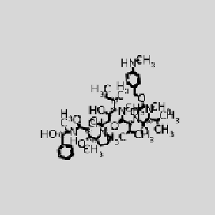 CC[C@H](C)[C@@H]([C@H](O)CC(=O)N1CCC[C@H]1[C@H](OC)[C@@H](C)C(=O)N[C@H](C)[C@@H](O)c1ccccc1)N(C)C(=O)[C@@H](NC(=O)[C@H](C(C)C)N(C)C(=O)OCc1ccc(NC)cc1)C(C)C